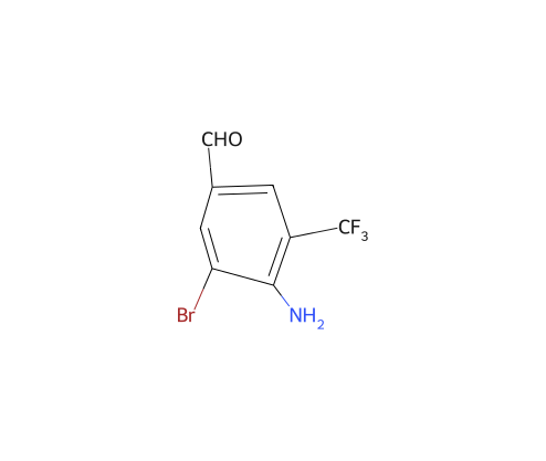 Nc1c(Br)cc(C=O)cc1C(F)(F)F